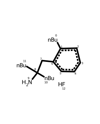 CCCCc1ccccc1CC(N)(CCCC)CCCC.F